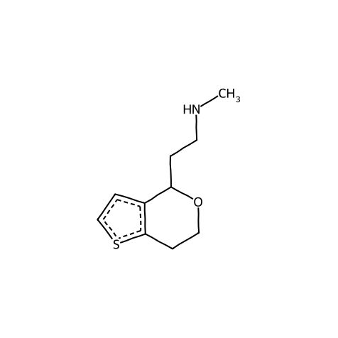 CNCCC1OCCc2sccc21